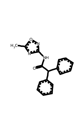 Cc1nc(NC(=O)C(c2ccccc2)c2ccccc2)no1